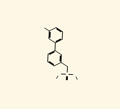 CCOP(=O)(Cc1cccc(-c2cccc(C#N)c2)c1)OCC